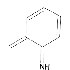 C=C1C=CC=CC1=N